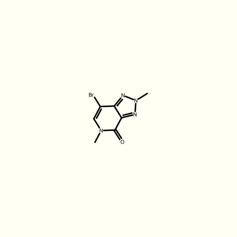 Cn1nc2c(Br)cn(C)c(=O)c2n1